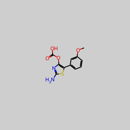 COc1cccc(-c2sc(N)nc2OC(=O)O)c1